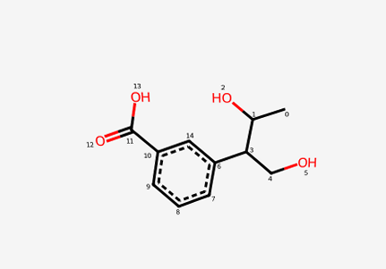 CC(O)C(CO)c1cccc(C(=O)O)c1